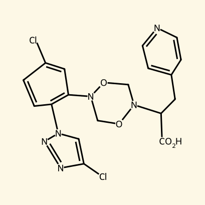 O=C(O)C(Cc1ccncc1)N1CON(c2cc(Cl)ccc2-n2cc(Cl)nn2)CO1